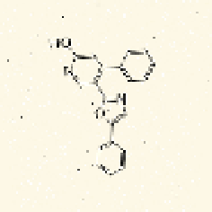 Oc1cc(-c2ccccc2)c(-c2ncc(-c3ccccc3)o2)cn1